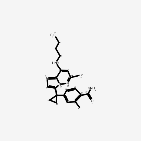 Cc1cc(C2(c3cnc4c(NCCCC(F)(F)F)cc(Br)nn34)CC2)ccc1C(N)=O